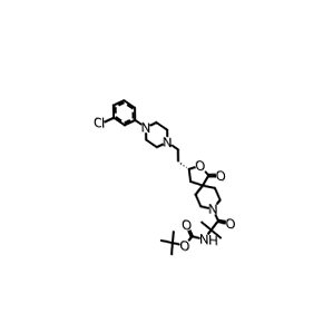 CC(C)(C)OC(=O)NC(C)(C)C(=O)N1CCC2(CC1)C[C@H](CCN1CCN(c3cccc(Cl)c3)CC1)OC2=O